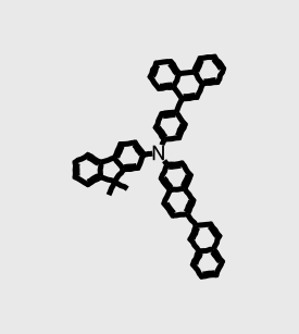 CC1(C)c2ccccc2-c2ccc(N(c3ccc(-c4cc5ccccc5c5ccccc45)cc3)c3ccc4cc(-c5ccc6ccccc6c5)ccc4c3)cc21